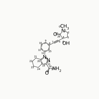 CN1CC[C@@](O)(C#Cc2cccc(-n3nc(C(N)=O)c4c3CCCC4)c2)C1=O